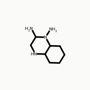 NC1CNC2CCCCC2N1N